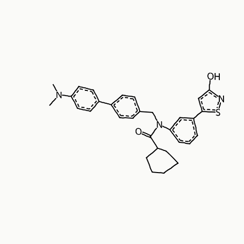 CN(C)c1ccc(-c2ccc(CN(C(=O)C3CCCCC3)c3cccc(-c4cc(O)ns4)c3)cc2)cc1